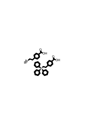 O=C(O)c1ccc(CCBr)cc1.O=C(O)c1ccc(CC[P+](c2ccccc2)(c2ccccc2)c2ccccc2)cc1.[Br-]